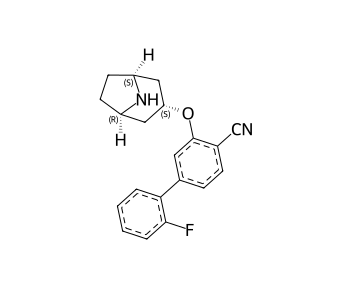 N#Cc1ccc(-c2ccccc2F)cc1O[C@@H]1C[C@H]2CC[C@@H](C1)N2